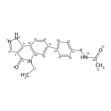 CCn1c(=O)c2cn[nH]c2c2ccc(-c3ccc(CNC(C)=O)cc3)cc21